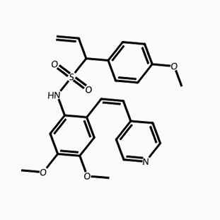 C=CC(c1ccc(OC)cc1)S(=O)(=O)Nc1cc(OC)c(OC)cc1C=Cc1ccncc1